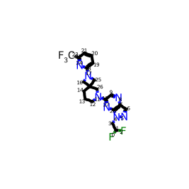 FC(F)Cn1ncc2ncc(N3CCCC4(CN(c5cccc(C(F)(F)F)n5)C4)C3)nc21